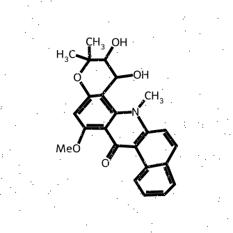 COc1cc2c(c3c1c(=O)c1c4ccccc4ccc1n3C)C(O)C(O)C(C)(C)O2